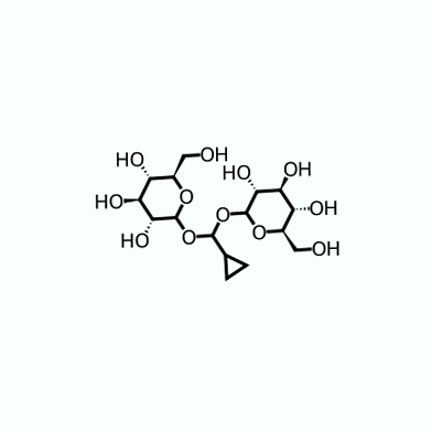 OC[C@H]1OC(OC(OC2O[C@H](CO)[C@@H](O)[C@H](O)[C@H]2O)C2CC2)[C@H](O)[C@@H](O)[C@@H]1O